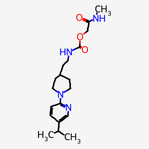 CNC(=O)COC(=O)NCCC1CCN(c2ccc(C(C)C)cn2)CC1